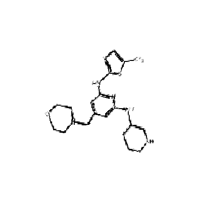 FC(F)(F)c1cnc(Nc2cc(CN3CCOCC3)cc(NC3CCCNC3)n2)s1